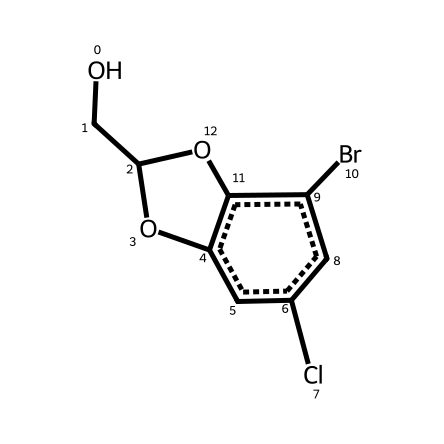 OCC1Oc2cc(Cl)cc(Br)c2O1